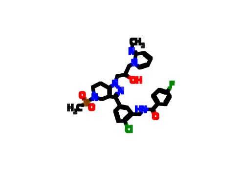 CN=c1ccccn1CC(O)Cn1nc(-c2ccc(Cl)c(CNC(=O)c3ccc(F)cc3)c2)c2c1CCN(S(C)(=O)=O)C2